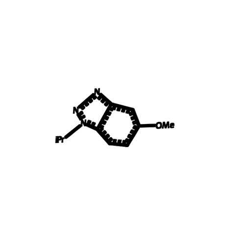 COc1ccc2c(c1)nnn2C(C)C